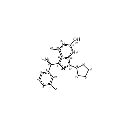 Cc1cccc(C(=N)c2nn(C3CCCC3)c3nc(O)nc(C)c23)c1